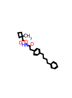 CC1(C(=O)ONC(=O)Cc2ccc(CCCCc3ccccc3)cc2)CCC1